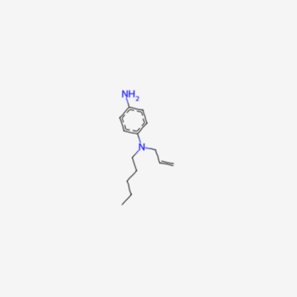 C=CCN(CCCCC)c1ccc(N)cc1